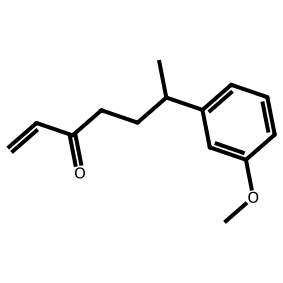 C=CC(=O)CCC(C)c1cccc(OC)c1